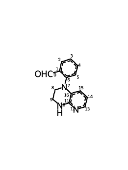 O=Cc1ccccc1N1CCNc2ncccc21